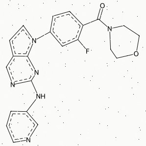 O=C(c1ccc(-n2ccc3cnc(Nc4cccnc4)nc32)cc1F)N1CCOCC1